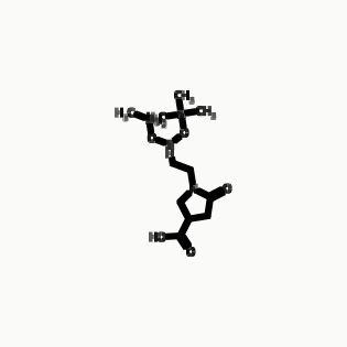 C[SiH2]O[SiH](CCN1CC(C(=O)O)CC1=O)O[Si](C)(C)C